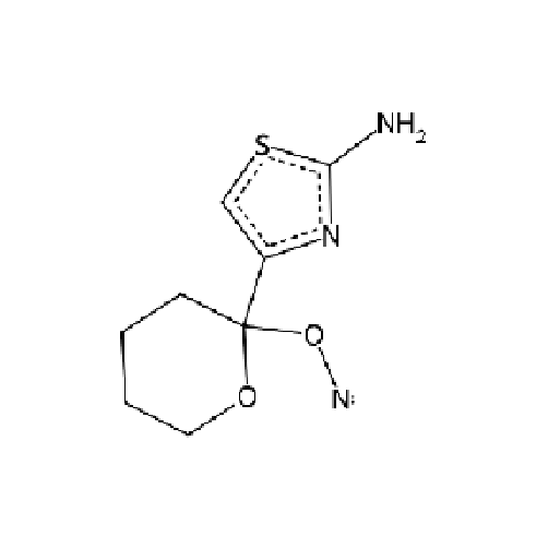 [N]OC1(c2csc(N)n2)CCCCO1